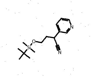 CC(C)(C)[Si](C)(C)OCCC(C#N)c1cccnc1